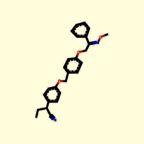 CCC(C#N)c1ccc(OCc2ccc(OC/C(=N/OC)c3ccccc3)cc2)cc1